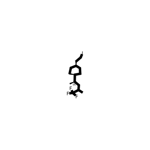 CC(C[C@@H](C)[C@H]1CC[C@@H](CCI)CC1)C(F)(F)F